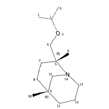 CC(C)OC[C@@]1(C)CC[C@@]2(C)CCCN1C2